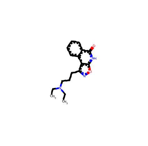 CCN(CC)CCCc1noc2[nH]c(=O)c3ccccc3c12